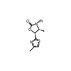 Cc1csc([C@H]2OC(=O)N(C(C)C)[C@H]2C)n1